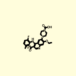 CCOc1cc2ncc(C(N)=O)c(Nc3cc(C)ccc3F)c2cc1N1CCN(C(=O)O)CC1